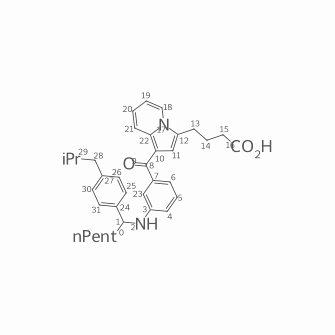 CCCCCC(Nc1cccc(C(=O)c2cc(CCCC(=O)O)n3ccccc23)c1)c1ccc(CC(C)C)cc1